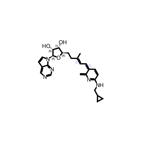 C=c1nc(NCC2CC2)cc/c1=C/C=C(\C)CC[C@H]1O[C@@H](n2ccc3cncnc32)[C@H](O)[C@@H]1O